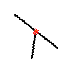 CCCCCCCCCCCCCCCC/C=C/OP(O/C=C/CCCCCCCCCCCCCCCC)O/C=C/CCCCCCCCCCCCCCCC